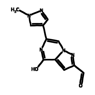 Cn1cc(-c2cn3nc(C=O)cc3c(O)n2)cn1